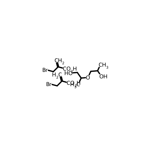 C=C(CBr)C(=O)O.C=C(CBr)C(=O)O.CC(O)COC(C)CO